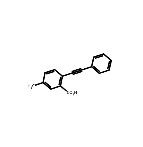 Cc1ccc(C#Cc2ccccc2)c(C(=O)O)c1